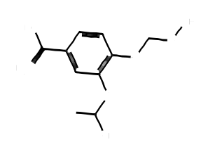 C=C(C)c1ccc(OCOC)c(OC(C)C)c1